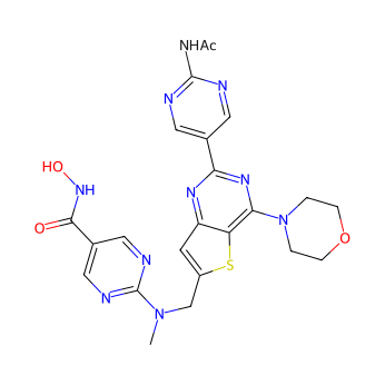 CC(=O)Nc1ncc(-c2nc(N3CCOCC3)c3sc(CN(C)c4ncc(C(=O)NO)cn4)cc3n2)cn1